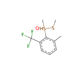 CS[SH](C)(=O)c1c(C)cccc1C(F)(F)F